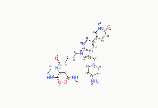 CNC(=O)CC1C(=O)NCCN1C(=O)CCCCn1cc(CN2CCC(N)CC2)c2cc(-c3ccc(=O)n(C)c3)cnc21